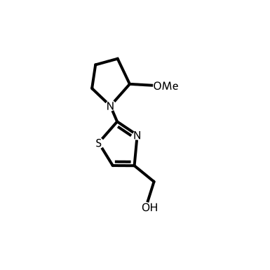 COC1CCCN1c1nc(CO)cs1